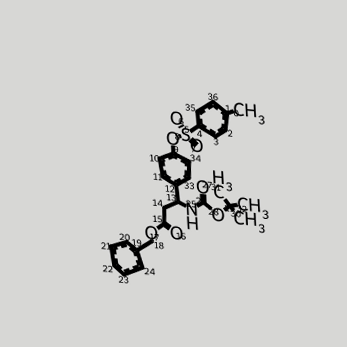 Cc1ccc(S(=O)(=O)Oc2ccc(C(CC(=O)OCc3ccccc3)NC(=O)OC(C)(C)C)cc2)cc1